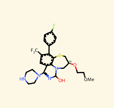 COCCO[C@@H]1CSc2c(-c3ccc(F)cc3)c(C(F)(F)F)cc3c2N(C1)C(O)N=C3N1CCNCC1